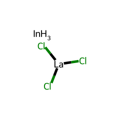 [Cl][La]([Cl])[Cl].[InH3]